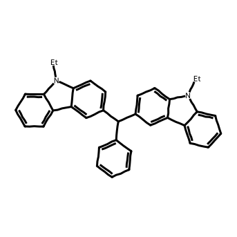 CCn1c2ccccc2c2cc(C(c3ccccc3)c3ccc4c(c3)c3ccccc3n4CC)ccc21